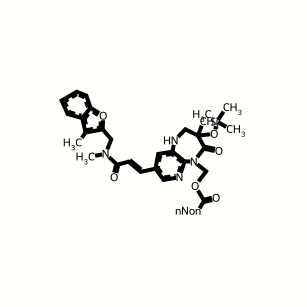 CCCCCCCCCC(=O)OCN1C(=O)C(C)(O[Si](C)(C)C)CNc2cc(C=CC(=O)N(C)Cc3oc4ccccc4c3C)cnc21